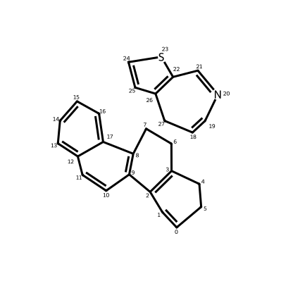 C1=CC2=C(CC1)CCc1c2ccc2ccccc12.C1=CN=Cc2sccc2C1